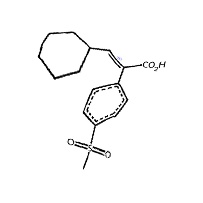 CS(=O)(=O)c1ccc(/C(=C\C2CCCCC2)C(=O)O)cc1